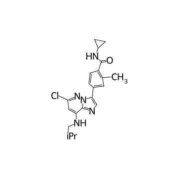 Cc1cc(-c2cnc3c(NCC(C)C)cc(Cl)nn23)ccc1C(=O)NC1CC1